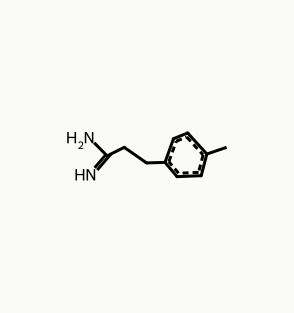 Cc1ccc(CCC(=N)N)cc1